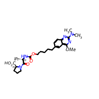 COc1nc(N(C)C)nc2ccc(CCCCCOC(=O)N[C@H](C(=O)N3CCC[C@H]3C(=O)O)C(C)C)cc12